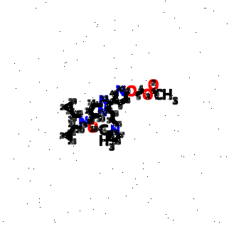 CC(=O)OCCOc1ccc(-c2nc3ccc(C(=O)N(CCC4CC4)CCC4CC4)cn3c2CCCN2CCCC2C)cn1